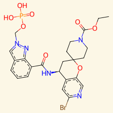 CCOC(=O)N1CCC2(CC1)C[C@H](NC(=O)c1cccc3cn(COP(=O)(O)O)nc13)c1cc(Br)ncc1O2